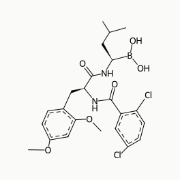 COc1ccc(C[C@H](NC(=O)c2cc(Cl)ccc2Cl)C(=O)N[C@@H](CC(C)C)B(O)O)c(OC)c1